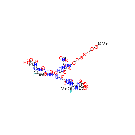 CC[C@@]1(O)C(=O)OCc2c1cc1n(c2=O)Cc2c-1nc1cc(F)c(OC)cc1c2CNC(=O)CNC(=O)CCC(=O)NCCN(CCNC(=O)CCC(=O)NCC(=O)NCc1c2c(nc3cc(F)c(OC)cc13)-c1cc3c(c(=O)n1C2)COC(=O)[C@]3(O)CC)C(=O)CCCNC(=O)[C@H](CCC(=O)NCCOCCOCCOCCOCCOCCOCCOCCOC)NC(=O)CCCN1C(=O)C=CC1=O